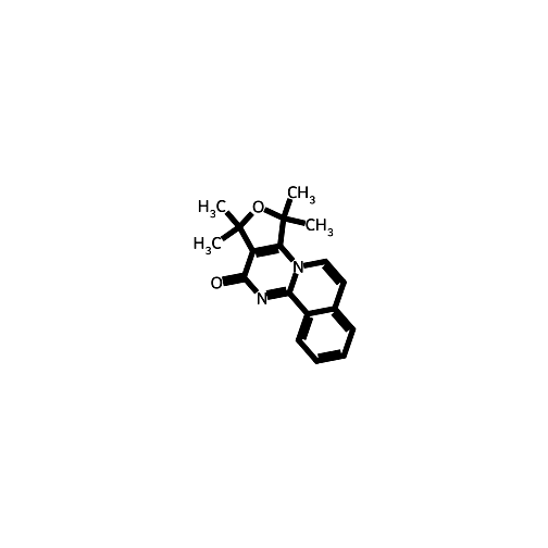 CC1(C)OC(C)(C)c2c1c(=O)nc1c3ccccc3ccn21